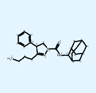 CCCCC1=NN(C(=O)NC2C3CC4CC(C3)CC2C4)CC1c1ccccc1